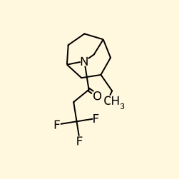 CCC1CC2CCC(C1)N(C(=O)CC(F)(F)F)C2